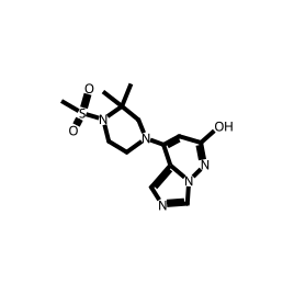 CC1(C)CN(c2cc(O)nn3cncc23)CCN1S(C)(=O)=O